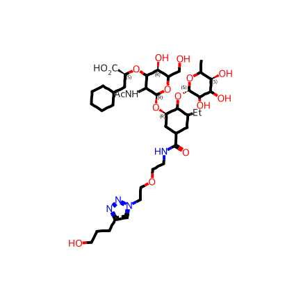 CCC1CC(C(=O)NCCOCCn2cc(CCCO)nn2)C[C@@H](O[C@@H]2OC(CO)[C@H](O)C(O[C@@H](CC3CCCCC3)C(=O)O)C2NC(C)=O)C1O[C@@H]1OC(C)[C@@H](O)C(O)C1O